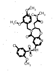 COc1ccc(CN2C(=O)c3cc(NS(=O)(=O)c4cc(Cl)ccc4OC)cnc3OC[C@@H]2CC(=O)N(C)C)c(OC)c1